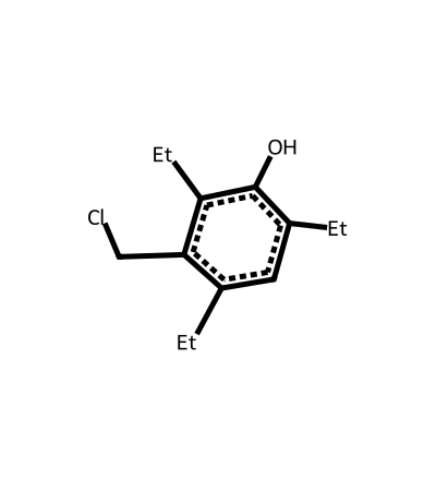 CCc1cc(CC)c(CCl)c(CC)c1O